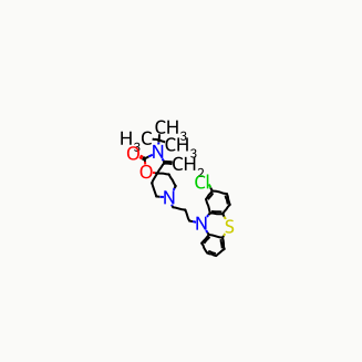 C=C1N(C(C)(C)C)C(=O)OC12CCN(CCCN1c3ccccc3Sc3ccc(Cl)cc31)CC2